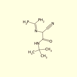 CC(C)(C)NC(=O)C(C#N)N=C(P)P